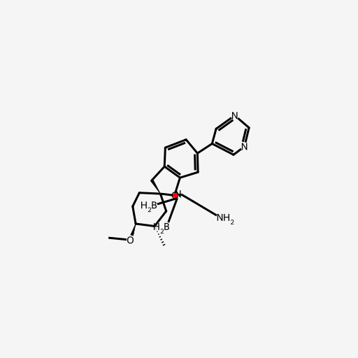 BC1(B)OC(N)=N[C@]12c1cc(-c3cncnc3)ccc1C[C@@]21CC[C@H](OC)[C@@H](C)C1